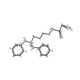 C=CC(=O)OCCCC[SiH](Oc1ccccc1)Oc1ccccc1